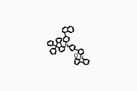 c1ccc(C2(c3ccccc3)c3ccccc3-c3c(N(c4ccc(-c5cccc6c5Oc5cccc7c8ccccc8n-6c57)cc4)c4ccc(-c5cccc6ccccc56)cc4)cccc32)cc1